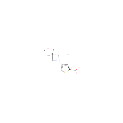 O=C([O-])c1cc(N2CC3(CCOC3)C2)cs1.[Li+]